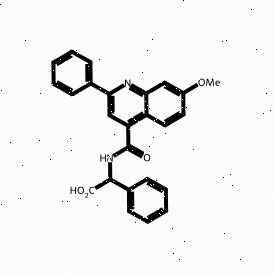 COc1ccc2c(C(=O)NC(C(=O)O)c3ccccc3)cc(-c3ccccc3)nc2c1